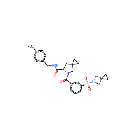 O=C(NCc1ccc(C(F)(F)F)cc1)[C@H]1CC2(CC2)CN1C(=O)c1cccc(S(=O)(=O)N2CC3(CC3)C2)c1